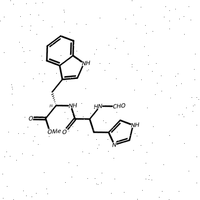 COC(=O)[C@H](Cc1c[nH]c2ccccc12)NC(=O)C(Cc1c[nH]cn1)NC=O